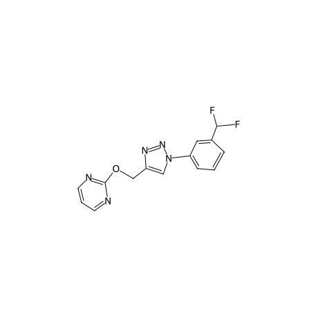 FC(F)c1cccc(-n2cc(COc3ncccn3)nn2)c1